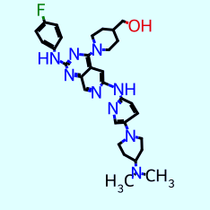 CN(C)C1CCN(c2ccc(Nc3cc4c(N5CCC(CO)CC5)nc(Nc5ccc(F)cc5)nc4cn3)nc2)CC1